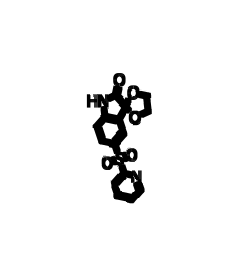 O=C1Nc2ccc(S(=O)(=O)c3ccccn3)cc2C12OCCO2